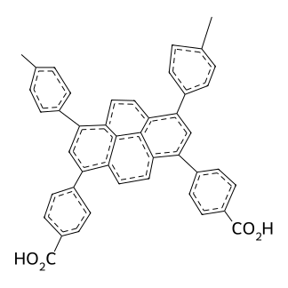 Cc1ccc(-c2cc(-c3ccc(C(=O)O)cc3)c3ccc4c(-c5ccc(C(=O)O)cc5)cc(-c5ccc(C)cc5)c5ccc2c3c54)cc1